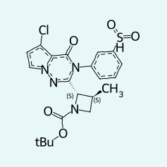 C[C@H]1CN(C(=O)OC(C)(C)C)[C@@H]1c1nn2ccc(Cl)c2c(=O)n1-c1cccc([SH](=O)=O)c1